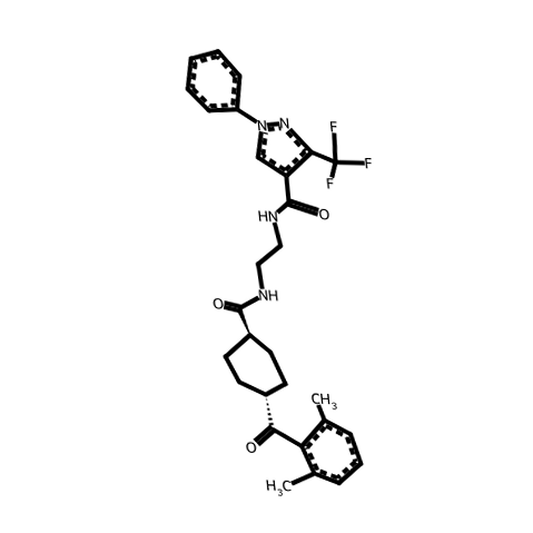 Cc1cccc(C)c1C(=O)[C@H]1CC[C@H](C(=O)NCCNC(=O)c2cn(-c3ccccc3)nc2C(F)(F)F)CC1